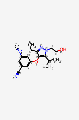 [C-]#[N+]c1cc(C#N)cc(Oc2c(CC)nn(CCO)c2C(C)C)c1